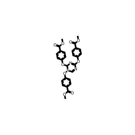 COC(=O)c1ccc(OC2=NC(Oc3ccc(C(=O)OC)cc3)N(Oc3ccc(C(=O)OC)cc3)C=N2)cc1